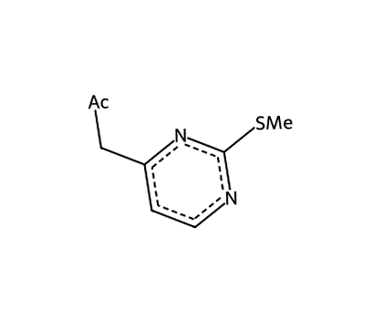 CSc1nccc(CC(C)=O)n1